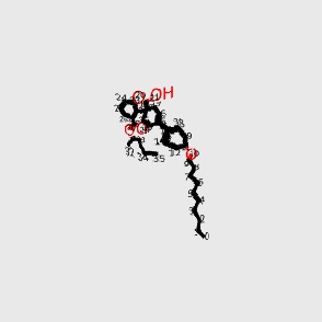 CCCCCCCCCCOc1ccc(C2=CCC(C(=O)O)(c3ccccc3C(=O)OC(C)CCC)C=C2)cc1